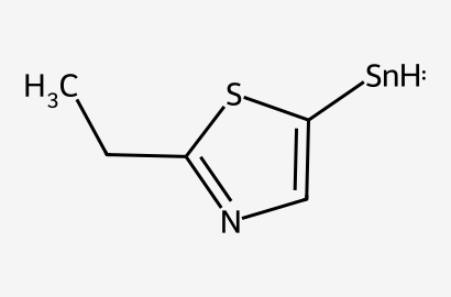 CCc1nc[c]([SnH])s1